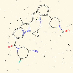 CC(=O)N1CCC(c2cccc3cc(-c4nn5cc(C(=O)N6C[C@H](N)C[C@@H](F)C6)ccc5c4C)n(CC4CC4)c23)CC1